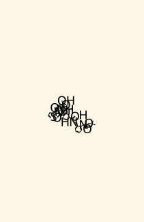 C[C@H](NN(C(=O)c1cccs1)C(=O)c1ccc(C(=O)NCc2ccccc2NC(=O)OC(C)(C)C)cc1Br)C(=O)O